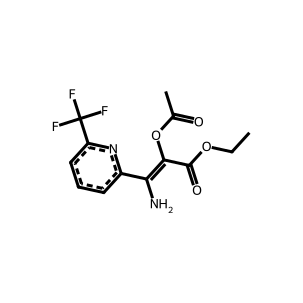 CCOC(=O)/C(OC(C)=O)=C(\N)c1cccc(C(F)(F)F)n1